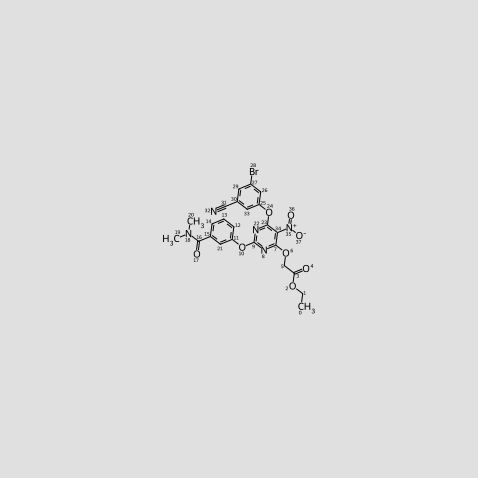 CCOC(=O)COc1nc(Oc2cccc(C(=O)N(C)C)c2)nc(Oc2cc(Br)cc(C#N)c2)c1[N+](=O)[O-]